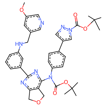 COc1cncc(CNc2cccc(-c3nc4c(c(N(C(=O)OC(C)(C)C)c5ccc(-c6cnn(C(=O)OC(C)(C)C)c6)cc5)n3)COC4)c2)c1